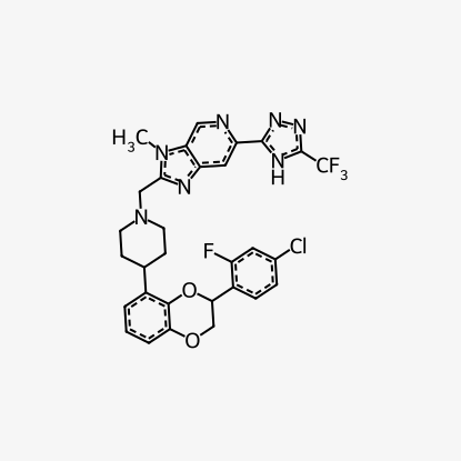 Cn1c(CN2CCC(c3cccc4c3OC(c3ccc(Cl)cc3F)CO4)CC2)nc2cc(-c3nnc(C(F)(F)F)[nH]3)ncc21